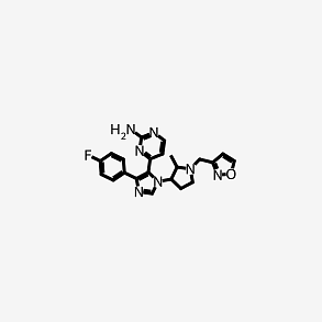 CC1C(n2cnc(-c3ccc(F)cc3)c2-c2ccnc(N)n2)CCN1Cc1ccon1